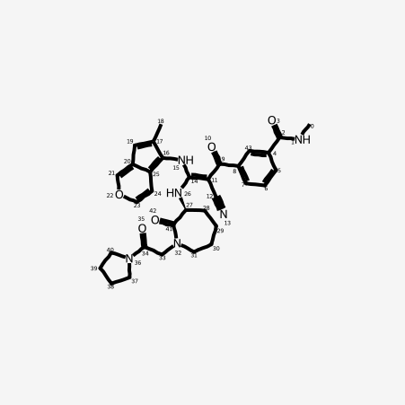 CNC(=O)c1cccc(C(=O)C(C#N)=C(Nc2c(C)cc3coccc2-3)N[C@H]2CCCCN(CC(=O)N3CCCC3)C2=O)c1